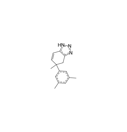 Cc1cc(C)cc(C2(C)C=Cc3[nH]nnc3C2)c1